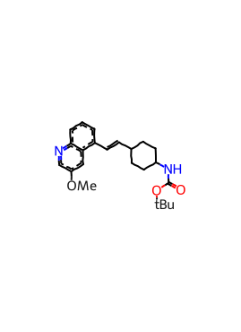 COc1cnc2cccc(C=CC3CCC(NC(=O)OC(C)(C)C)CC3)c2c1